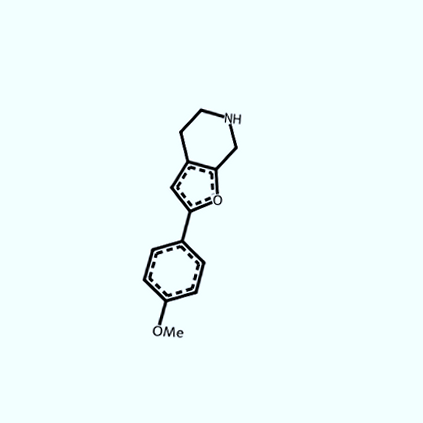 COc1ccc(-c2cc3c(o2)CNCC3)cc1